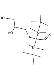 C=CC(OCC(O)CO)([Si](C)(C)C(C)(C)C)[Si](C)(C)C(C)(C)C